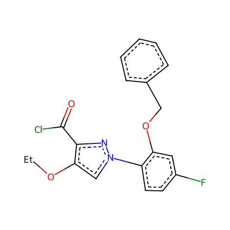 CCOc1cn(-c2ccc(F)cc2OCc2ccccc2)nc1C(=O)Cl